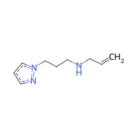 C=CCNCCCn1cccn1